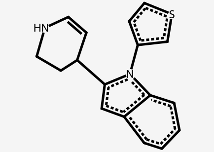 C1=CC(c2cc3ccccc3n2-c2ccsc2)CCN1